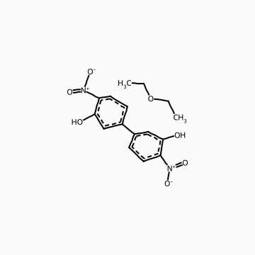 CCOCC.O=[N+]([O-])c1ccc(-c2ccc([N+](=O)[O-])c(O)c2)cc1O